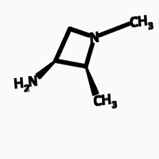 C[C@H]1[C@@H](N)CN1C